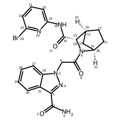 NC(=O)c1nn(CC(=O)N2[C@@H]3CC[C@@H](C3)[C@H]2C(=O)Nc2cccc(Br)n2)c2ccccc12